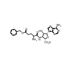 Nc1ncnc2c1ncn2[C@@H]1O[C@H](C(=O)O)[C@@H](NC(=O)C(N)CCC(=O)OCc2ccccc2)[C@H]1O